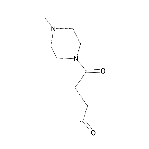 CN1CCN(C(=O)CC[C]=O)CC1